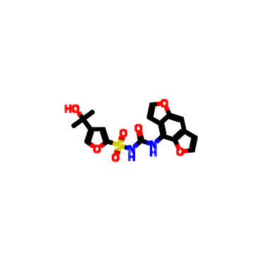 CC(C)(O)c1coc(S(=O)(=O)NC(=O)Nc2c3ccoc3cc3ccoc23)c1